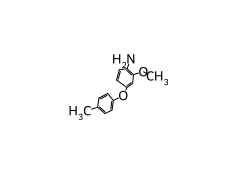 COc1cc(Oc2ccc(C)cc2)ccc1N